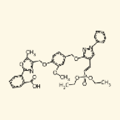 CCOP(=O)(/C=C/c1cn(-c2ccccc2)nc1OCc1ccc(OCc2nc(-c3ccccc3C(=O)O)oc2C)c(OC)c1)OCC